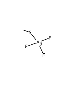 C[S][Ag]([F])([F])[F]